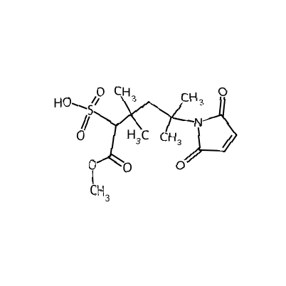 COC(=O)C(C(C)(C)CC(C)(C)N1C(=O)C=CC1=O)S(=O)(=O)O